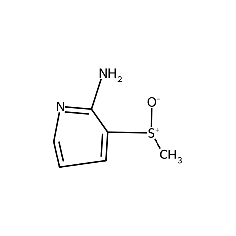 C[S+]([O-])c1cccnc1N